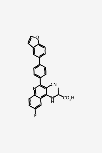 CC(Nc1c(C#N)c(-c2ccc(-c3ccc4occc4c3)cc2)nc2ccc(F)cc12)C(=O)O